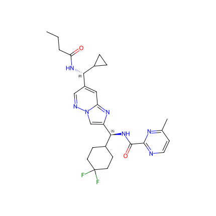 CCCC(=O)N[C@@H](c1cnn2cc([C@@H](NC(=O)c3nccc(C)n3)C3CCC(F)(F)CC3)nc2c1)C1CC1